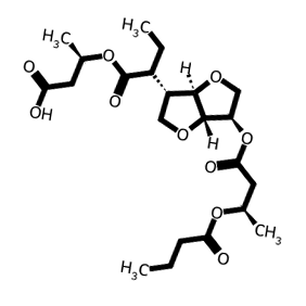 CCCC(=O)O[C@H](C)CC(=O)O[C@@H]1CO[C@H]2[C@H]1OC[C@@H]2C(CC)C(=O)O[C@H](C)CC(=O)O